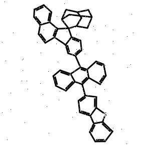 c1ccc2c3c(ccc2c1)-c1cc(-c2c4ccccc4c(-c4ccc5c(c4)sc4ccccc45)c4ccccc24)ccc1C31C2CC3CC(C2)CC1C3